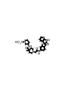 CC1(C(=O)NC2CCCN(C(=O)O)C2)CCN(CC(=O)Nc2ccc3c(c2)C[C@@]2(C3)C(=O)Nc3ncccc32)CC1